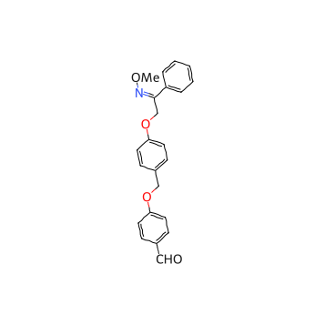 CON=C(COc1ccc(COc2ccc(C=O)cc2)cc1)c1ccccc1